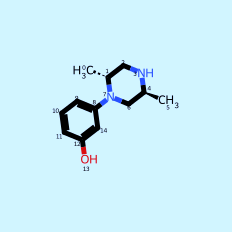 C[C@@H]1CN[C@@H](C)CN1c1cccc(O)c1